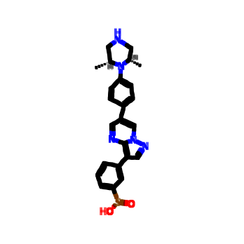 C[C@@H]1CNC[C@H](C)N1c1ccc(-c2cnc3c(-c4cccc(S(=O)O)c4)cnn3c2)cc1